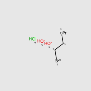 Cl.[B+2]CCCCC.[OH-].[OH-]